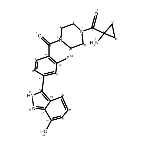 NC1(C(=O)N2CCN(C(=O)c3ccc(-c4[nH]nc5c(O)cccc45)cc3F)CC2)CC1